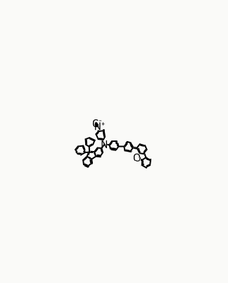 [C-]#[N+]c1ccc(N(c2ccc(-c3ccc(-c4cccc5c4oc4ccccc45)cc3)cc2)c2ccc3c(c2)C(c2ccccc2)(c2ccccc2)c2ccccc2-3)cc1